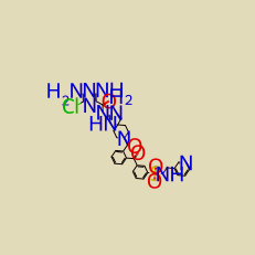 Nc1nc(N)c(C(=O)/N=C2\NCC3(CCN(C(=O)c4ccccc4C(=O)c4cccc(S(=O)(=O)NCc5cccnc5)c4)CC3)N2)nc1Cl